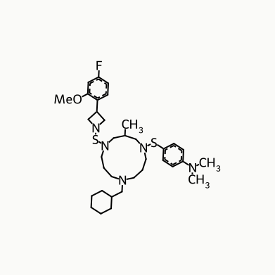 COc1cc(F)ccc1C1CN(SN2CCCN(CC3CCCCC3)CCCN(Sc3ccc(N(C)C)cc3)CC(C)C2)C1